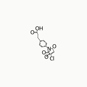 O=C(O)CCc1ccc(N2C(=O)C=C(Cl)S2(=O)=O)cc1